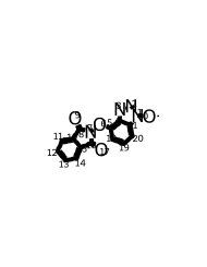 [O]n1nnc2c(ON3C(=O)c4ccccc4C3=O)cccc21